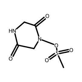 CS(=O)(=O)ON1CC(=O)NCC1=O